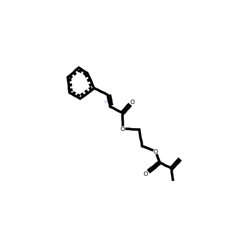 C=C(C)C(=O)OCCOC(=O)/C=C/c1ccccc1